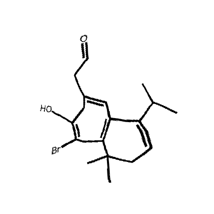 CC(C)C1=CCC(C)(C)c2c1cc(CC=O)c(O)c2Br